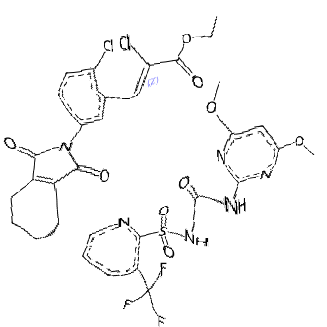 CCOC(=O)/C(Cl)=C/c1cc(N2C(=O)C3=C(CCCC3)C2=O)ccc1Cl.COc1cc(OC)nc(NC(=O)NS(=O)(=O)c2ncccc2C(F)(F)F)n1